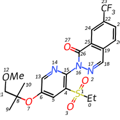 CCS(=O)(=O)c1cc(OC(C)(C)COC)cnc1-n1ncc2ccc(C(F)(F)F)cc2c1=O